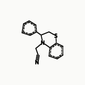 N#CCN1c2ccccc2SCC1c1ccccc1